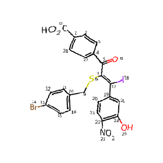 O=C(O)c1ccc(C(=O)C(SCc2ccc(Br)cc2)=C(I)c2ccc([N+](=O)[O-])c(O)c2)cc1